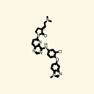 CN(C)C/C=C1\CCN(c2ccc3ncnc(Nc4ccc(Oc5ccc6c(c5)ncn6C)c(Cl)c4)c3n2)C1=O